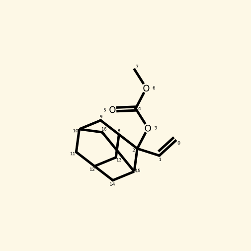 C=CC1(OC(=O)OC)C2CC3CC(C2)CC1C3